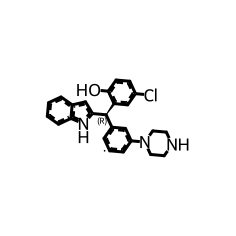 Oc1ccc(Cl)cc1[C@@H](c1c[c]cc(N2CCNCC2)c1)c1cc2ccccc2[nH]1